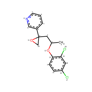 CC(CC1(c2cccnc2)CO1)Oc1ccc(Cl)cc1Cl